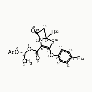 CC(=O)O[C@@H](C)OC(=O)C1=C(Oc2ccc(F)cc2)S[C@H]2CC(=O)N12